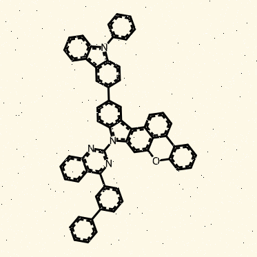 c1ccc(-c2cccc(-c3nc(-n4c5ccc(-c6ccc7c(c6)c6ccccc6n7-c6ccccc6)cc5c5c6cccc7c6c(cc54)Oc4ccccc4-7)nc4ccccc34)c2)cc1